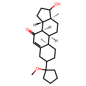 COC1(C2CC[C@@]3(C)C(=CC(=O)[C@@H]4[C@H]3CC[C@]3(C)C(O)CC[C@@H]43)C2)CCCC1